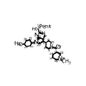 CCC[C@H](C)Nc1ncc2c(C3CCN(C(=O)[C@H]4CCCN(C)C4)CC3)cn(C3CCC(O)CC3)c2n1